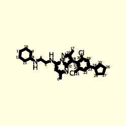 Cc1cc(NCCNC2CCCCC2)n2nc(C)c(-c3c(Cl)cc(C4=CCCC4)cc3Cl)c2n1